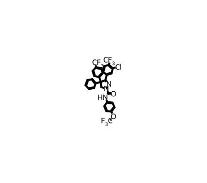 O=C(Nc1ccc(OC(F)(F)F)cc1)N1CC(c2ccccc2)(c2ccc(C(F)(F)F)cc2)C(c2ccc(C(F)(F)F)c(Cl)c2)=N1